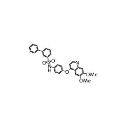 COc1cc2nccc(Oc3ccc(NS(=O)(=O)c4cccc(-c5ccccc5)c4)cc3)c2cc1OC